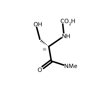 CNC(=O)[C@H](CO)NC(=O)O